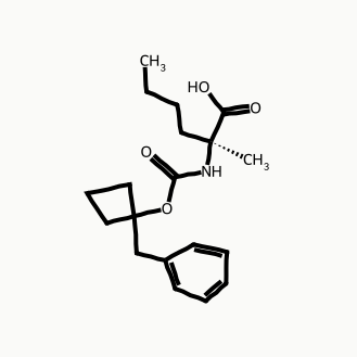 CCCC[C@](C)(NC(=O)OC1(Cc2ccccc2)CCC1)C(=O)O